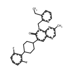 Cc1cnc2cc(C3CCC(c4c(F)cccc4F)CC3)c(=O)n(Cc3ncccc3CC(F)(F)F)c2n1